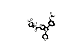 CC1(NC(=O)c2cc3c(cn2)c(-c2cccc(OC(F)F)c2)cn3C2CCOCC2)CCS(=O)(=O)C1